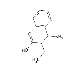 CCC(C(=O)O)C(N)c1ccccn1